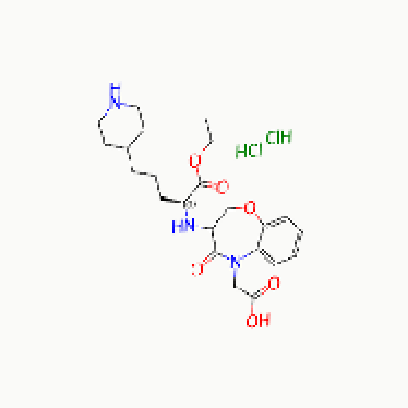 CCOC(=O)[C@H](CCCC1CCNCC1)NC1COc2ccccc2N(CC(=O)O)C1=O.Cl.Cl